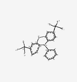 FC(F)(F)c1ccc2c(c1)Sc1cc(C(F)(F)F)ccc1N2c1ccccc1